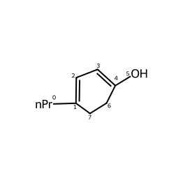 CCCC1=CC=C(O)CC1